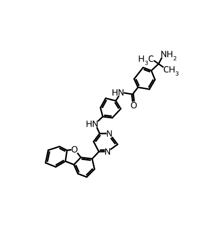 CC(C)(N)c1ccc(C(=O)Nc2ccc(Nc3cc(-c4cccc5c4oc4ccccc45)ncn3)cc2)cc1